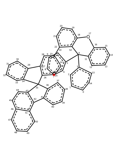 c1ccc(C2(c3ccccc3)c3ccccc3Oc3cccc(-c4ccc5c(c4)-c4ccccc4C54c5ccccc5-c5c4ccc4ccccc54)c32)cc1